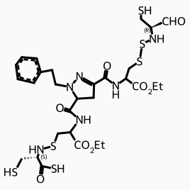 CCOC(=O)C(CSSN[C@H](C=O)CS)NC(=O)C1=NN(CCc2ccccc2)C(C(=O)NC(CSN[C@@H](CS)C(=O)S)C(=O)OCC)C1